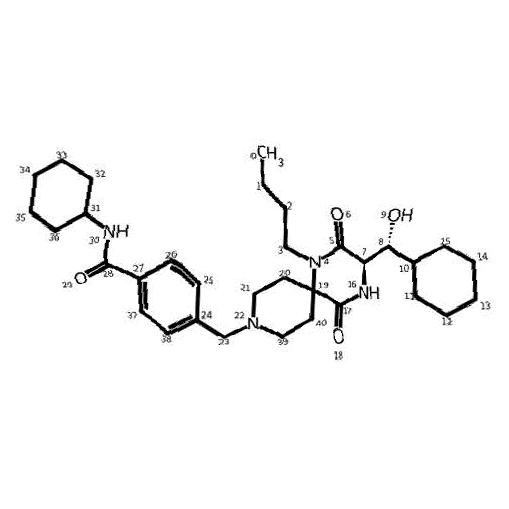 CCCCN1C(=O)[C@@H]([C@H](O)C2CCCCC2)NC(=O)C12CCN(Cc1ccc(C(=O)NC3CCCCC3)cc1)CC2